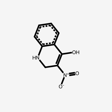 O=[N+]([O-])C1=C(O)c2ccccc2NC1